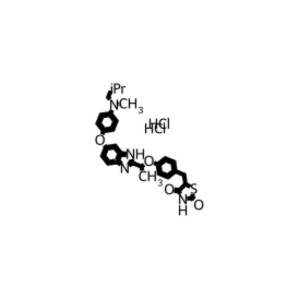 CC(C)CN(C)c1ccc(Oc2ccc3nc(C(C)Oc4ccc(CC5SC(=O)NC5=O)cc4)[nH]c3c2)cc1.Cl.Cl